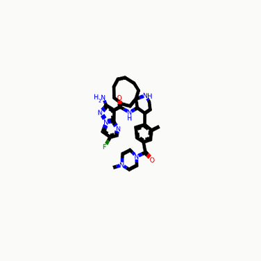 Cc1cc(C(=O)N2CCN(C)CC2)ccc1C1CCNC2(CCCCCCCC2)C1NC(=O)c1c(N)nn2cc(F)cnc12